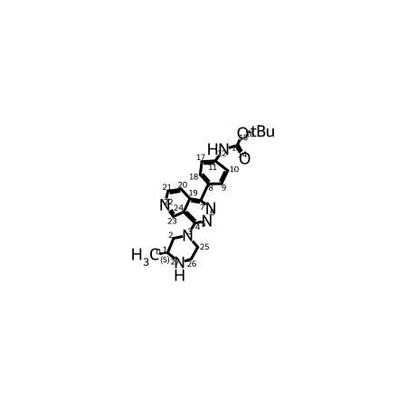 C[C@H]1CN(c2nnc(-c3ccc(NC(=O)OC(C)(C)C)cc3)c3ccncc23)CCN1